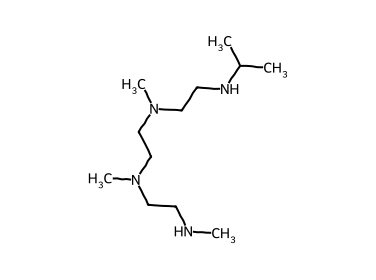 CNCCN(C)CCN(C)CCNC(C)C